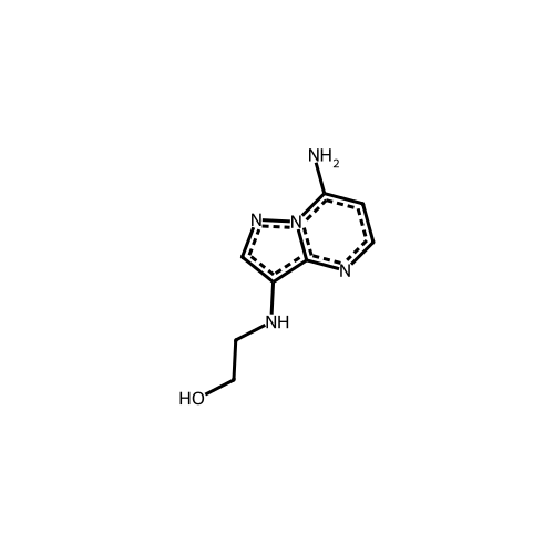 Nc1ccnc2c(NCCO)cnn12